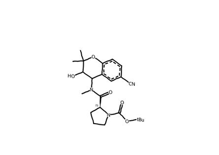 CN(C(=O)[C@@H]1CCCN1C(=O)OC(C)(C)C)C1c2cc(C#N)ccc2OC(C)(C)C1O